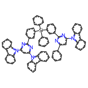 c1ccc(-c2cc(-n3c4ccccc4c4ccccc43)nc(-c3cccc([Si](c4ccccc4)(c4ccccc4)c4cccc(-c5nc(-n6c7ccccc7c7ccccc76)cc(-n6c7ccccc7c7ccccc76)n5)c4)c3)n2)cc1